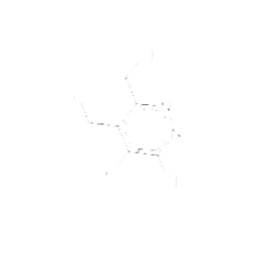 CCc1nnc(C)c(C)c1CC